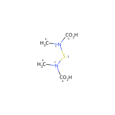 CN(SN(C)C(=O)O)C(=O)O